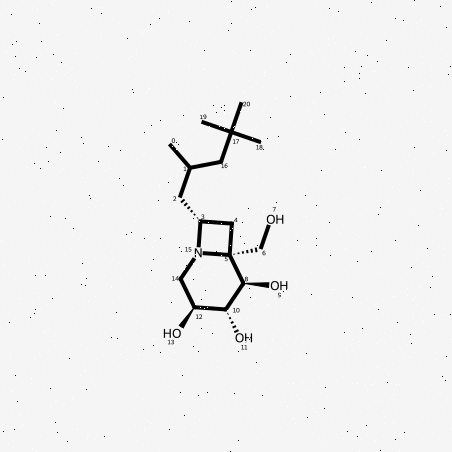 CC(C[C@@H]1C[C@@]2(CO)[C@@H](O)[C@H](O)[C@@H](O)CN12)CC(C)(C)C